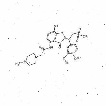 CCOc1cc(C(CS(C)(=O)=O)N2Cc3c(S)ccc(NC(=O)CN4CCN(C)CC4)c3C2=O)ccc1OC